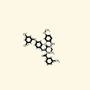 CCN(Nc1ccc(OC)cc1)C(=O)C(Cc1ccc(Oc2cc(Cl)cc(Cl)c2)cc1)NC(=O)c1cccc(C)c1